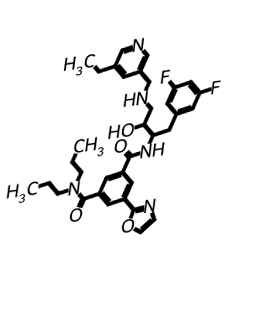 CCCN(CCC)C(=O)c1cc(C(=O)NC(Cc2cc(F)cc(F)c2)C(O)CNCc2cncc(CC)c2)cc(-c2ncco2)c1